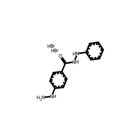 Br.Br.NNc1ccc(C(=O)NNc2ccccc2)cc1